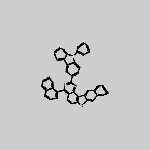 c1ccc(-n2c3ccccc3c3cc(-c4nc(-c5cccc6ccccc56)c5ccc6oc7cc8ccccc8cc7c6c5n4)ccc32)cc1